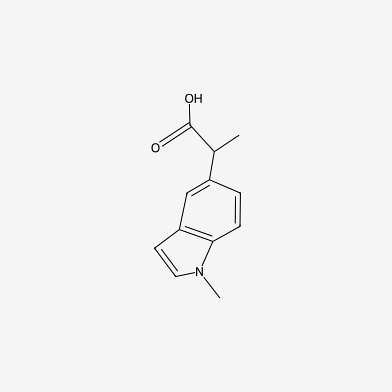 CC(C(=O)O)c1ccc2c(ccn2C)c1